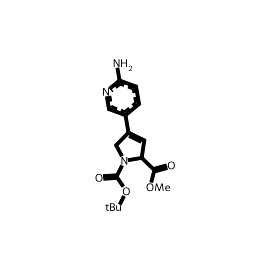 COC(=O)C1C=C(c2ccc(N)nc2)CN1C(=O)OC(C)(C)C